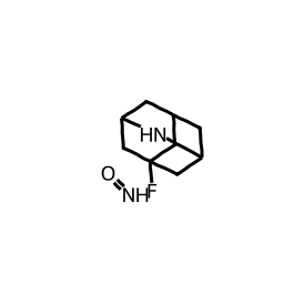 FC12CC3CC(C1)NC(C3)C2.N=O